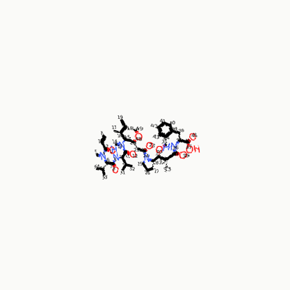 C=CC(=O)N(C)[C@H](C(=O)N[C@H](C(=O)N(C)[C@@H]([C@@H](C)CC)[C@@H](CC(=O)N1CCC[C@H]1[C@H](OC)[C@@H](C)C(=O)N[C@@H](Cc1ccccc1)C(=O)O)OC)C(C)C)C(C)C